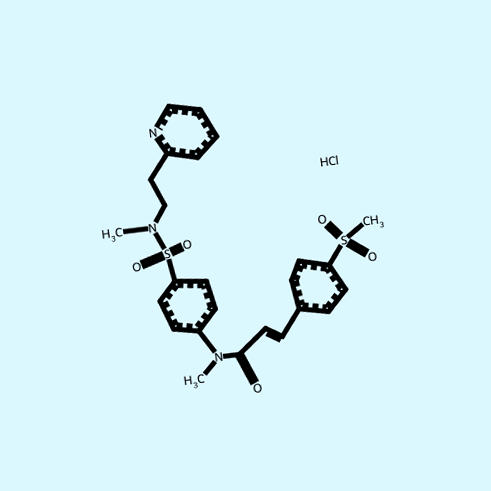 CN(C(=O)C=Cc1ccc(S(C)(=O)=O)cc1)c1ccc(S(=O)(=O)N(C)CCc2ccccn2)cc1.Cl